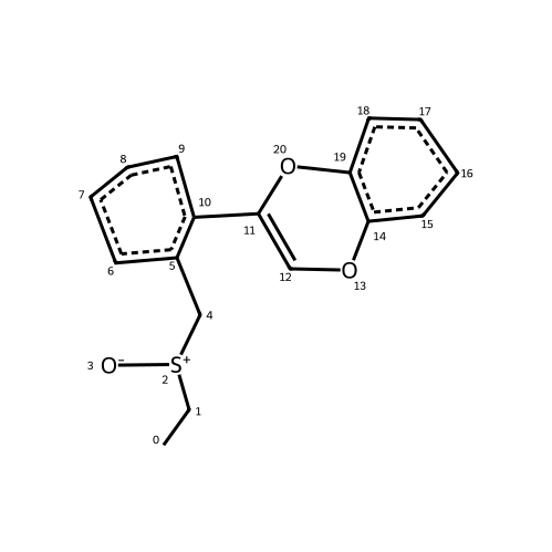 CC[S+]([O-])Cc1ccccc1C1=COc2ccccc2O1